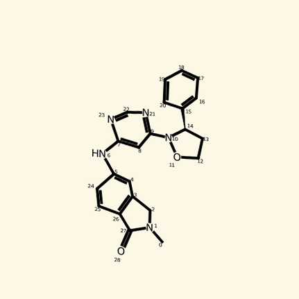 CN1Cc2cc(Nc3cc(N4OCC[C@@H]4c4ccccc4)ncn3)ccc2C1=O